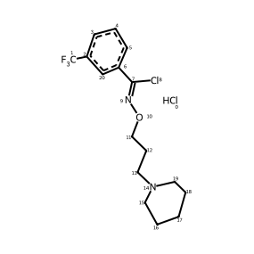 Cl.FC(F)(F)c1cccc(C(Cl)=NOCCCN2CCCCC2)c1